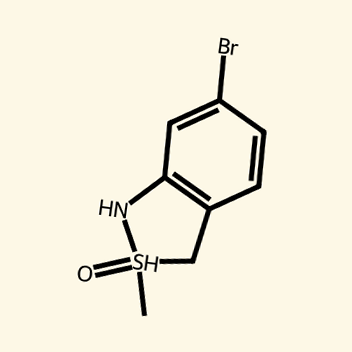 C[SH]1(=O)Cc2ccc(Br)cc2N1